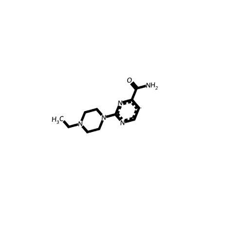 CCN1CCN(c2nc[c]c(C(N)=O)n2)CC1